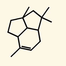 CC1=CCC2C3C1CCC3(C)CC2(C)C